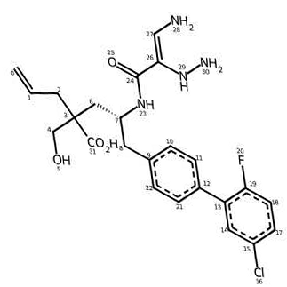 C=CCC(CO)(C[C@@H](Cc1ccc(-c2cc(Cl)ccc2F)cc1)NC(=O)/C(=C/N)NN)C(=O)O